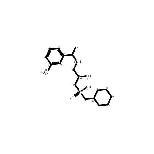 CC(NC[C@@H](O)CP(=O)(O)CC1CCCCC1)c1cccc(C(=O)O)c1